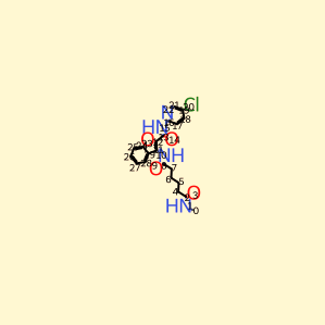 CNC(=O)CCCCC(=O)Nc1c(C(=O)Nc2ccc(Cl)cn2)oc2ccccc12